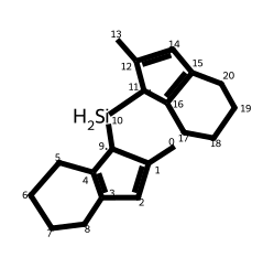 CC1=CC2=C(CCCC2)[C]1[SiH2][C]1C(C)=CC2=C1CCCC2